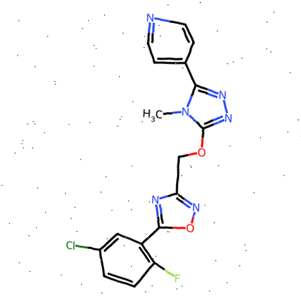 Cn1c(OCc2noc(-c3cc(Cl)ccc3F)n2)nnc1-c1ccncc1